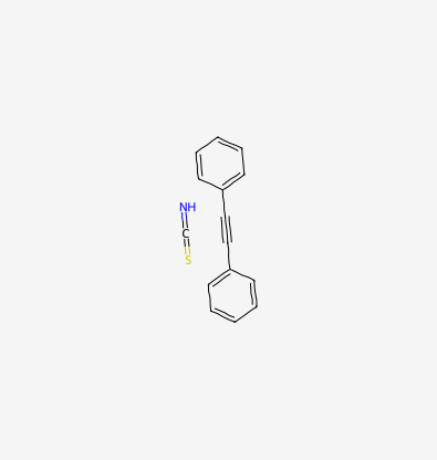 C(#Cc1ccccc1)c1ccccc1.N=C=S